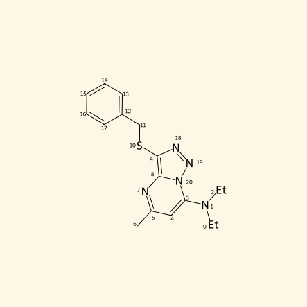 CCN(CC)c1cc(C)nc2c(SCc3ccccc3)nnn12